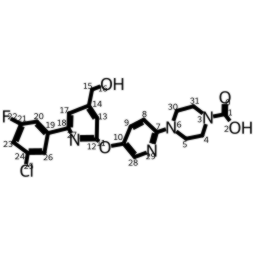 O=C(O)N1CCN(c2ccc(Oc3cc(CO)cc(-c4cc(F)cc(Cl)c4)n3)cn2)CC1